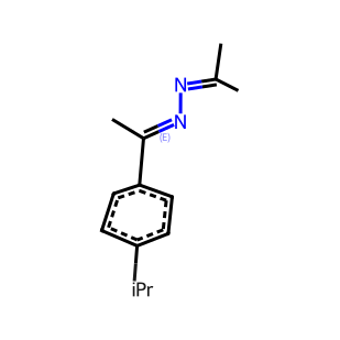 CC(C)=N/N=C(\C)c1ccc(C(C)C)cc1